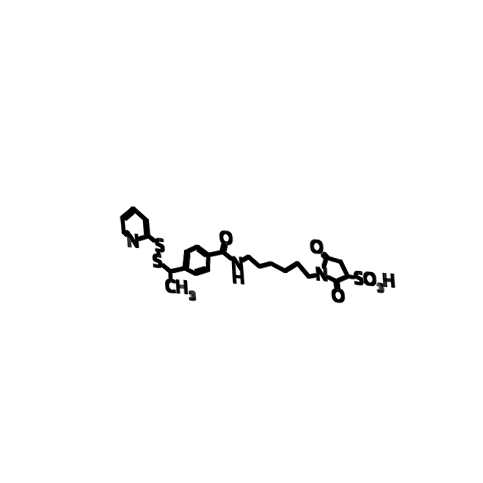 CC(SSc1ccccn1)c1ccc(C(=O)NCCCCCCN2C(=O)CC(S(=O)(=O)O)C2=O)cc1